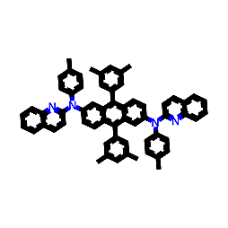 Cc1ccc(N(c2ccc3c(-c4cc(C)cc(C)c4)c4cc(N(c5ccc(C)cc5)c5ccc6ccccc6n5)ccc4c(-c4cc(C)cc(C)c4)c3c2)c2ccc3ccccc3n2)cc1